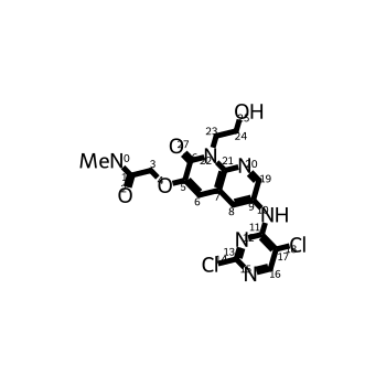 CNC(=O)COc1cc2cc(Nc3nc(Cl)ncc3Cl)cnc2n(CCO)c1=O